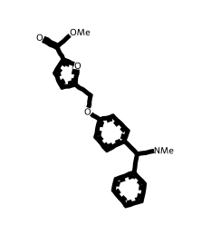 CNC(c1ccccc1)c1ccc(OCc2ccc(C(=O)OC)o2)cc1